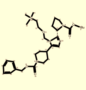 CC(C)(C)OC(=O)N1CCC[C@H]1c1ncc(C2CCN(C(=O)OCc3ccccc3)CC2)n1COCC[Si](C)(C)C